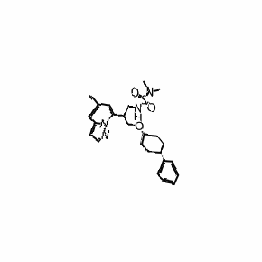 Cc1cc(C(CNS(=O)(=O)N(C)C)CO[C@H]2CC[C@@H](c3ccccc3)CC2)n2nccc2c1